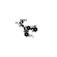 C/C(=C\c1ccc2c(c1)N(S(=O)(=O)c1cccc(C)c1)C[C@H](CCC(=O)N(C)CC(=O)O)O2)c1c(F)cccc1Cl